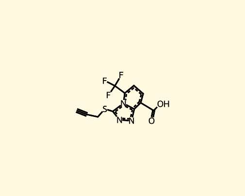 C#CCSc1nnc2c(C(=O)O)ccc(C(F)(F)F)n12